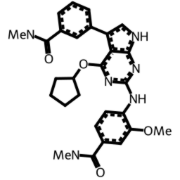 CNC(=O)c1cccc(-c2c[nH]c3nc(Nc4ccc(C(=O)NC)cc4OC)nc(OC4CCCC4)c23)c1